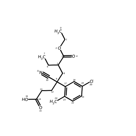 CCOC(=O)C(CC)CC(C#N)(CCC(=O)O)c1cc(Cl)ccc1C